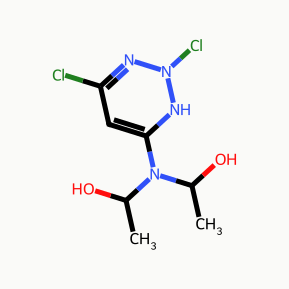 CC(O)N(C1=CC(Cl)=NN(Cl)N1)C(C)O